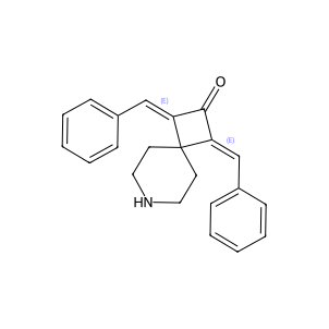 O=C1/C(=C/c2ccccc2)C2(CCNCC2)/C1=C\c1ccccc1